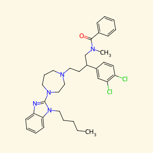 CCCCCn1c(N2CCCN(CCC(CN(C)C(=O)c3ccccc3)c3ccc(Cl)c(Cl)c3)CC2)nc2ccccc21